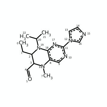 CCC1C(C=O)N(C)c2cnc(-n3ccnc3)nc2N1C(C)C